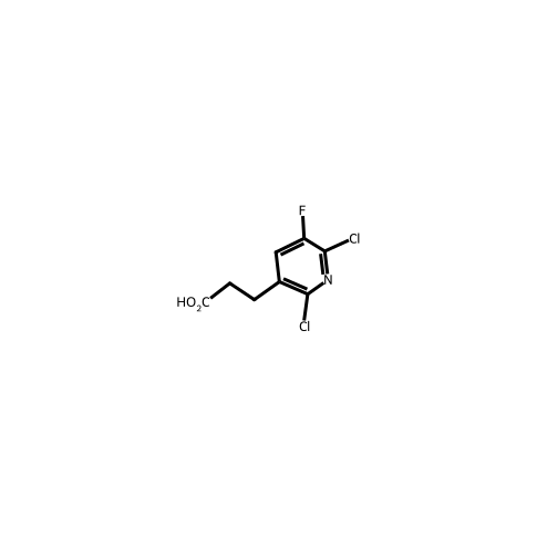 O=C(O)CCc1cc(F)c(Cl)nc1Cl